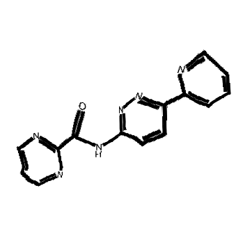 O=C(Nc1ccc(-c2ccccn2)nn1)c1ncccn1